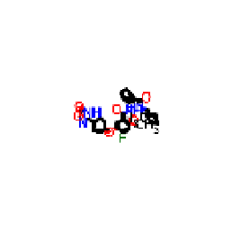 COc1cc(F)c(OC2CCC(c3noc(=O)[nH]3)CC2)cc1C(=O)NC1C2CCC(C2)C1C(=O)NCC1(C)CCC1